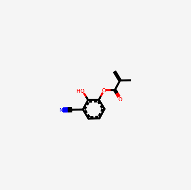 C=C(C)C(=O)Oc1cccc(C#N)c1O